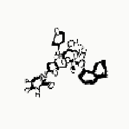 C[C@H](NP(=O)(OC[C@H]1O[C@@H](n2cc(F)c(=O)[nH]c2=O)C[C@H]1O)Oc1cccc2ccccc12)C(=O)OC1CCOCC1